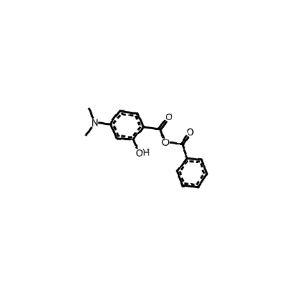 CN(C)c1ccc(C(=O)OC(=O)c2ccccc2)c(O)c1